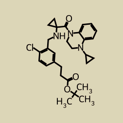 CC(C)(C)OC(=O)CCc1ccc(Cl)c(CNC2(C(=O)N3CCN(C4CC4)c4ccccc43)CC2)c1